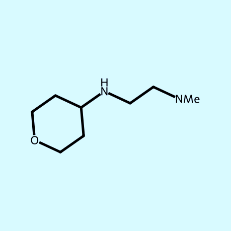 CNCCNC1CCOCC1